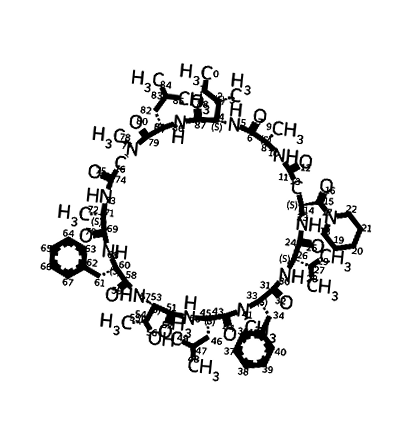 CC[C@H](C)[C@@H]1NC(=O)[C@H](C)NC(=O)C[C@@H](C(=O)N2CCCCC2)NC(=O)[C@H](C(C)C)NC(=O)[C@H](Cc2ccccc2)N(C)C(=O)[C@H](CC(C)C)NC(=O)[C@H]([C@@H](C)O)NC(=O)[C@H](Cc2ccccc2)NC(=O)[C@H](C)NC(=O)CN(C)C(=O)[C@H](CC(C)C)NC1=O